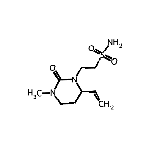 C=C[C@H]1CCN(C)C(=O)N1CCS(N)(=O)=O